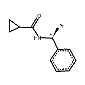 CC(C)[C@H](NC(=O)C1CC1)c1ccccc1